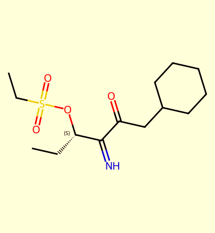 CC[C@H](OS(=O)(=O)CC)C(=N)C(=O)CC1CCCCC1